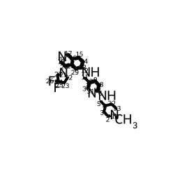 CN1CCC(CNc2ccc(CNc3ccc4cncc(N5CCC(F)(F)C5)c4c3)cn2)CC1